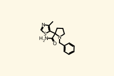 Cc1ncsc1C1(C(N)=O)CCCN1Cc1ccccc1